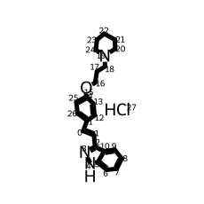 C(=C\c1n[nH]c2ccccc12)/c1ccc(OCCCN2CCCCC2)cc1.Cl